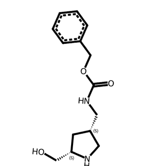 O=C(NC[C@@H]1CN[C@H](CO)C1)OCc1ccccc1